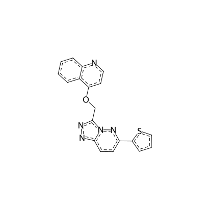 c1csc(-c2ccc3nnc(COc4ccnc5ccccc45)n3n2)c1